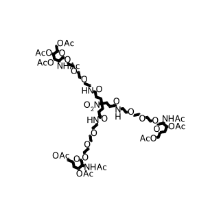 CC(=O)NC1C(OC(C)=O)CC(COC(C)=O)OC1OCCOCCOCCNC(=O)CCC(CCC(=O)NCCOCCOCCOC1OC(COC(C)=O)CC(OC(C)=O)C1NC(C)=O)(CCC(=O)NCCOCCOCCOC1OC(COC(C)=O)C(OC(C)=O)C(OC(C)=O)C1NC(C)=O)[N+](=O)[O-]